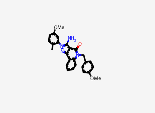 COc1ccc(Cn2c(=O)c3c(N)n(-c4cc(OC)ccc4C)nc3c3ccccc32)cc1